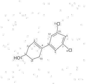 OC1CC=C(c2cc(Cl)cc(Cl)c2)CC1